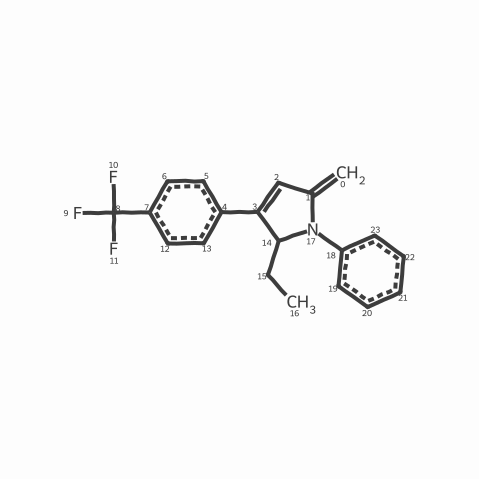 C=C1C=C(c2ccc(C(F)(F)F)cc2)C(CC)N1c1ccccc1